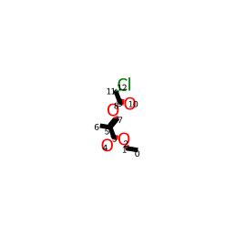 CCOC(=O)C(C)=COC(=O)CCl